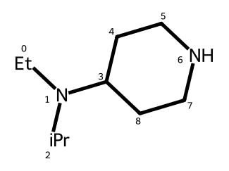 CCN(C(C)C)C1CCNCC1